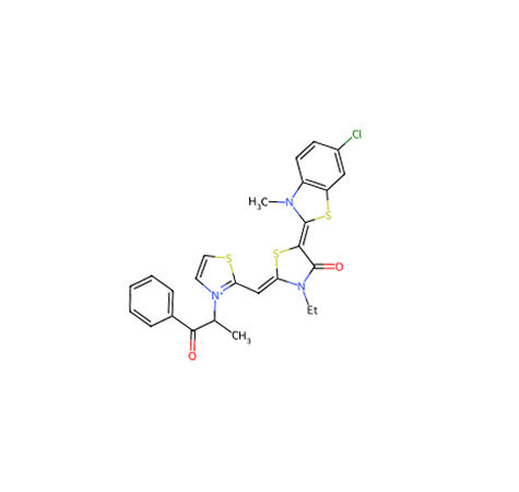 CCn1c(=O)/c(=C2\Sc3cc(Cl)ccc3N2C)s/c1=C\c1scc[n+]1C(C)C(=O)c1ccccc1